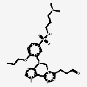 CCCOc1ccc(S(=O)(=O)NCCCN(C)C)cc1N1Cn2c(CCC=O)nnc2-c2[nH]cnc21